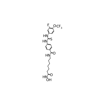 O=C(CCCCCCNC(=O)c1ccc(NC(=S)Nc2ccc(OC(F)(F)F)c(F)c2)cc1)NO